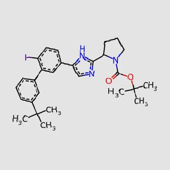 CC(C)(C)OC(=O)N1CCCC1c1ncc(-c2ccc(I)c(-c3cccc(C(C)(C)C)c3)c2)[nH]1